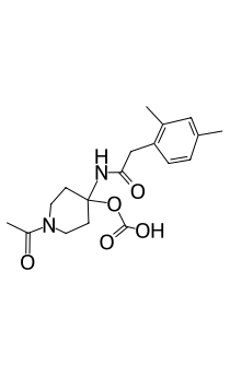 CC(=O)N1CCC(NC(=O)Cc2ccc(C)cc2C)(OC(=O)O)CC1